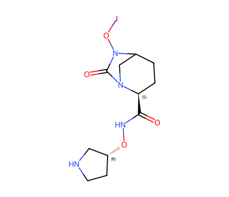 O=C(NO[C@@H]1CCNC1)[C@@H]1CCC2CN1C(=O)N2OI